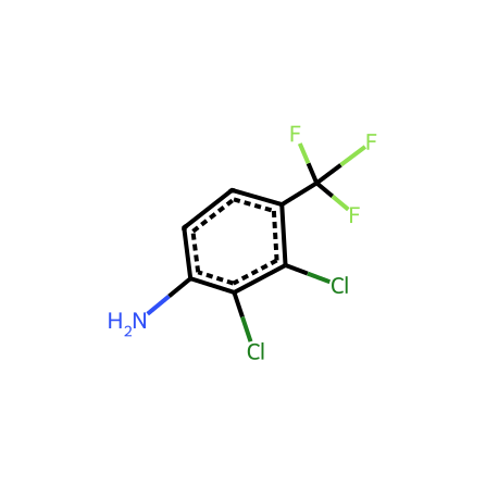 Nc1ccc(C(F)(F)F)c(Cl)c1Cl